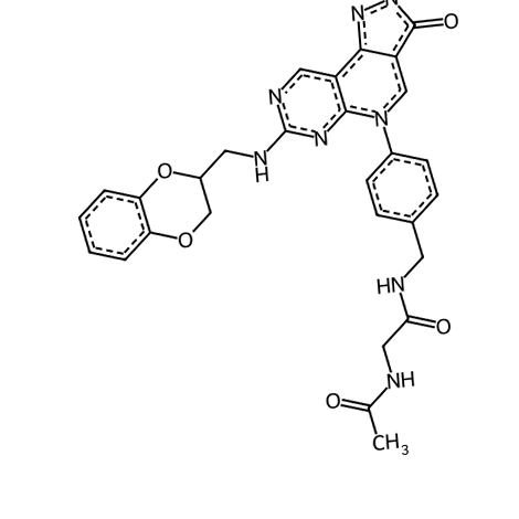 CC(=O)NCC(=O)NCc1ccc(-n2cc3c(=O)[nH]nc-3c3cnc(NCC4COc5ccccc5O4)nc32)cc1